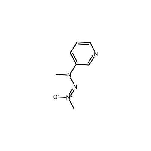 CN(N=[N+](C)[O-])c1cccnc1